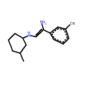 CC1CCCC(N/C=C(\N)c2cccc(C#N)c2)C1